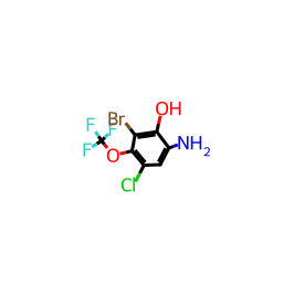 Nc1cc(Cl)c(OC(F)(F)F)c(Br)c1O